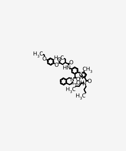 CCCCN(CCCC)C(=O)c1cc(C)n(-c2ccc(NC(=O)C(CC)CC(=O)Oc3ccc(OCC)cc3)cc2C(=O)N2Cc3ccccc3C[C@H]2CO)n1